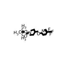 CC(C)(C)OC(=O)N1CCC(COc2ccc(C(F)(F)F)cn2)CC1